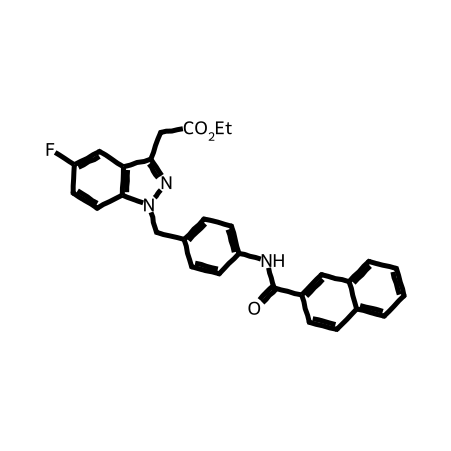 CCOC(=O)Cc1nn(Cc2ccc(NC(=O)c3ccc4ccccc4c3)cc2)c2ccc(F)cc12